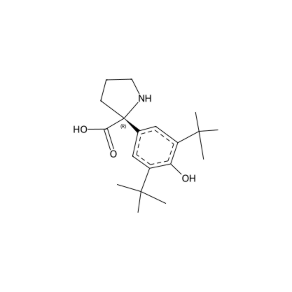 CC(C)(C)c1cc([C@@]2(C(=O)O)CCCN2)cc(C(C)(C)C)c1O